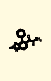 Cn1nc2ccc(C(=O)NN)c(-c3ccccc3)c2n1